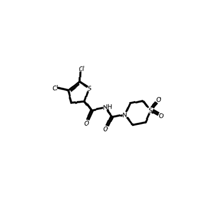 O=C(NC(=O)N1CCS(=O)(=O)CC1)C1CC(Cl)=C(Cl)S1